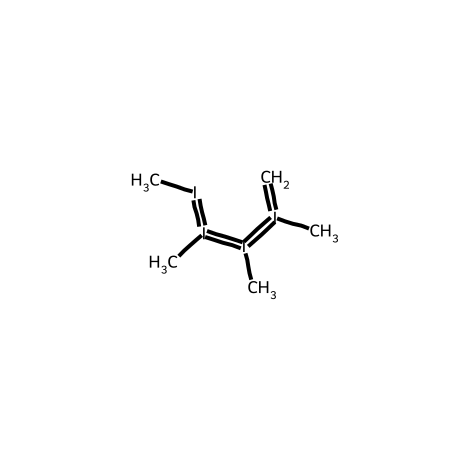 C=I(/C)=I(/C)=I(/C)=I/C